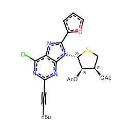 CCCCC#Cc1nc(Cl)c2nc(-c3ccco3)n([C@@H]3SC[C@@H](OC(C)=O)[C@H]3OC(C)=O)c2n1